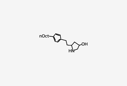 CCCCCCCCc1ccc(CCC2CC(O)CN2)cc1